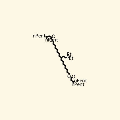 CCCCCC(CCCCC)CC(=O)OCCCCCCCCC(CCCCCCCCOC(=O)CC(CCCCC)CCCCC)CCN(CC)CC